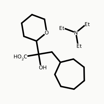 CCN(CC)CC.O=C(O)C(O)(CC1CCCCCC1)C1CCCCO1